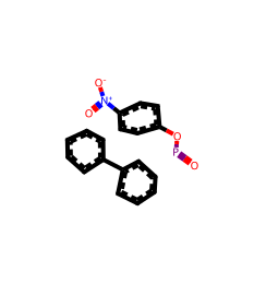 O=POc1ccc([N+](=O)[O-])cc1.c1ccc(-c2ccccc2)cc1